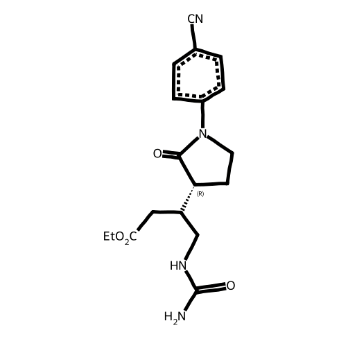 CCOC(=O)CC(CNC(N)=O)[C@H]1CCN(c2ccc(C#N)cc2)C1=O